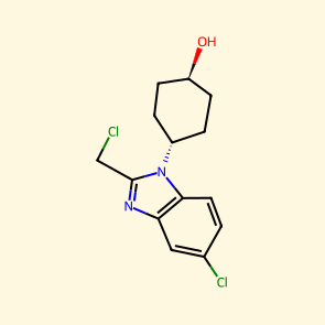 O[C@H]1CC[C@H](n2c(CCl)nc3cc(Cl)ccc32)CC1